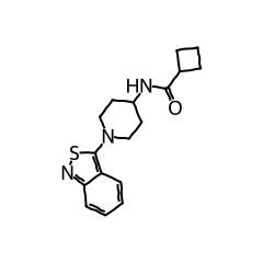 O=C(NC1CCN(c2snc3ccccc23)CC1)C1CCC1